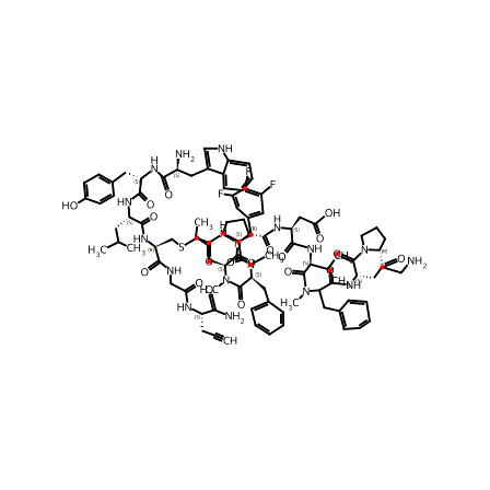 C#CC[C@H](NC(=O)CNC(=O)[C@H](CSCC(=O)N[C@@H](Cc1cc(F)c(F)c(F)c1)C(=O)N(C)[C@@H](Cc1ccccc1)C(=O)N(C)[C@@H](CCCC)C(=O)N1CCC[C@@H]1C(=O)N[C@@H](CC(=O)O)C(=O)N[C@H](C(=O)N(C)C(Cc1ccccc1)C(=O)N[C@@H](CCCN)C(=O)N1CCC[C@@H]1C=O)C(C)C)NC(=O)[C@H](CC(C)C)NC(=O)[C@H](Cc1ccc(O)cc1)NC(=O)[C@@H](N)Cc1c[nH]c2ccccc12)C(N)=O